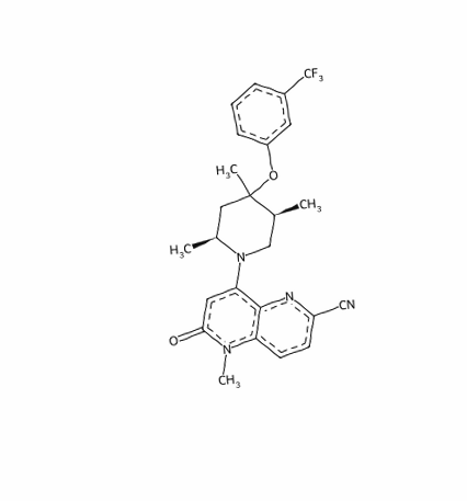 C[C@H]1CC(C)(Oc2cccc(C(F)(F)F)c2)[C@@H](C)CN1c1cc(=O)n(C)c2ccc(C#N)nc12